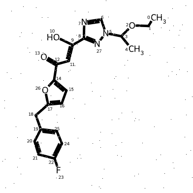 CCOC(C)n1cnc(C(O)=CC(=O)c2ccc(Cc3ccc(F)cc3)o2)n1